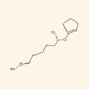 CCCOCCCCCC(=O)OC1=CCCC1